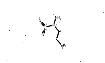 CCCCCN(N)[SH](=O)=O